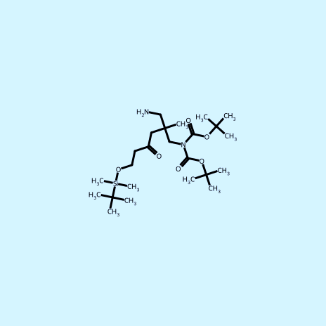 CC(CN)(CC(=O)CCO[Si](C)(C)C(C)(C)C)CN(C(=O)OC(C)(C)C)C(=O)OC(C)(C)C